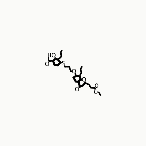 CCCc1c(SCCCOc2ccc3c(=O)cc(CCC(=O)OCC)oc3c2CCC)ccc(C(C)=O)c1O